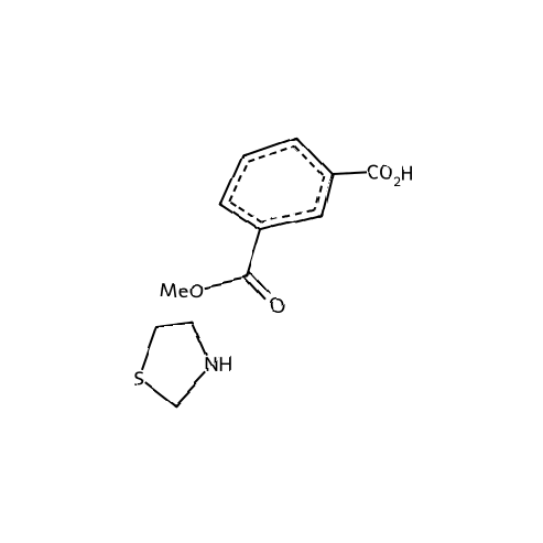 C1CSCN1.COC(=O)c1cccc(C(=O)O)c1